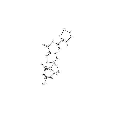 C=C(NC(=O)C1=C(C)CCCC1)N1CCC(C)(c2c(C)cc(Cl)cc2Cl)CC1